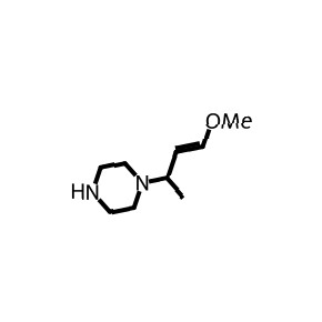 CO/C=C/C(C)N1CCNCC1